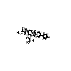 CN(C)S(=O)(=O)N1CCN(S(=O)(=O)N2CC=C(c3ccc(F)cc3)CC2)[C@H](OC(=O)NO)C1